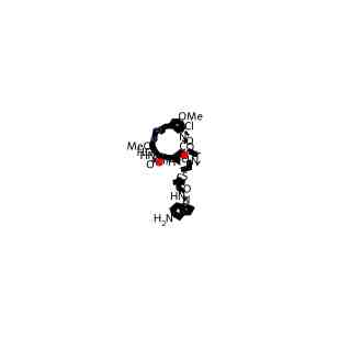 COc1cc2cc(c1Cl)N(C)C(=O)C[C@H](OC(=O)[C@H](C)N(C)C(=O)CCSSC(C)(C)CC(=O)N/N=C1/CCc3cc(N)ccc31)[C@@]1(C)C[C@H]1[C@H](C)[C@@H]1C[C@@](O)(NC(=O)O1)[C@H](OC)/C=C/C=C(\C)C2